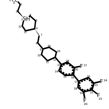 CCC[Si@H]1CC[C@H](CCC2CCC(c3ccc(-c4cc(F)c(F)c(F)c4)c(F)c3)CC2)CC1